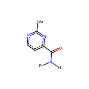 CCN(CC)C(=O)c1ccnc(C(C)(C)C)n1